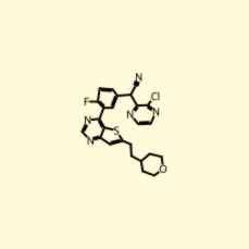 N#CC(c1ccc(F)c(-c2ncnc3cc(CCC4CCOCC4)sc23)c1)c1nccnc1Cl